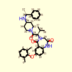 Cc1cccc(C)c1Oc1ccc2c(c1)C(=O)N([C@@H](C(=O)N1CCC(N[C@H](C)c3ccccc3)CC1)C(C)C)CC(=O)N2